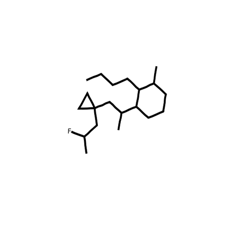 CCCCC1C(C)CCCC1C(C)CC1(CC(C)F)CC1